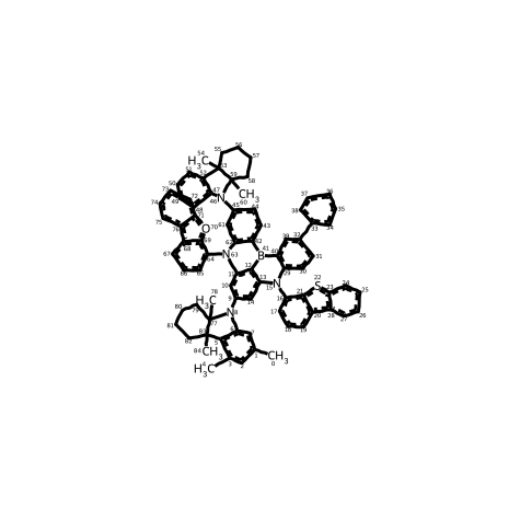 Cc1cc(C)c2c(c1)N(c1cc3c4c(c1)N(c1cccc5c1sc1ccccc15)c1ccc(-c5ccccc5)cc1B4c1ccc(N4c5ccccc5C5(C)CCCCC45C)cc1N3c1cccc3c1oc1ccccc13)C1(C)CCCCC21C